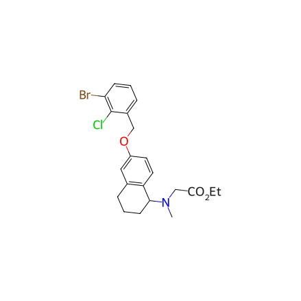 CCOC(=O)CN(C)C1CCCc2cc(OCc3cccc(Br)c3Cl)ccc21